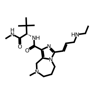 CCNC/C=C/c1nc(C(=O)N[C@H](C(=O)NC)C(C)(C)C)c2n1CCCN(C)C2